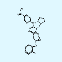 Cc1ccccc1Oc1cnn([C@@H](CC2CCCC2)C(=O)Nc2ccc(C(=O)O)cn2)c(=O)c1